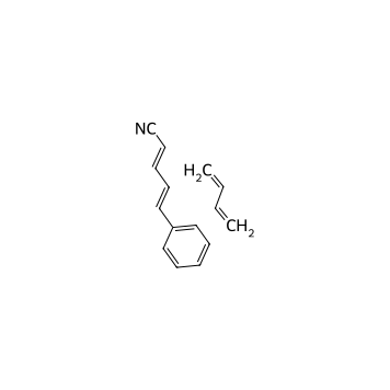 C=CC=C.N#CC=CC=Cc1ccccc1